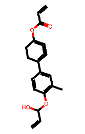 C=CC(=O)OC1=C=C=C(c2ccc(OC(O)C=C)c(C)c2)CC1